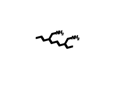 CCCC(CN)CCCC(CC)CN